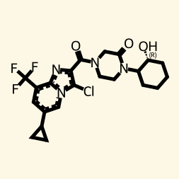 O=C(c1nc2c(C(F)(F)F)cc(C3CC3)cn2c1Cl)N1CCN(C2CCCC[C@H]2O)C(=O)C1